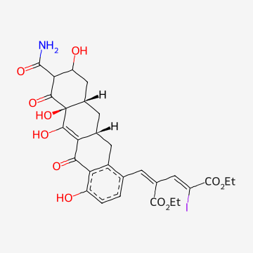 CCOC(=O)/C(I)=C/C(=C/c1ccc(O)c2c1C[C@H]1C[C@H]3CC(O)C(C(N)=O)C(=O)[C@@]3(O)C(O)=C1C2=O)C(=O)OCC